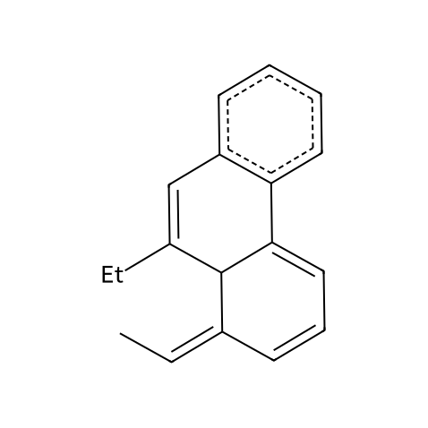 C/C=C1/C=CC=C2c3ccccc3C=C(CC)C21